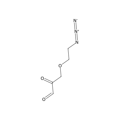 [N-]=[N+]=NCCOCC(=O)C=O